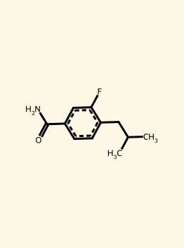 CC(C)Cc1ccc(C(N)=O)cc1F